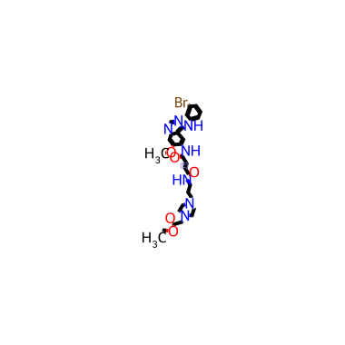 CCOC(=O)CN1CCN(CCCNC(=O)/C=C/C(=O)Nc2cc3c(Nc4cccc(Br)c4)ncnc3cc2OC)CC1